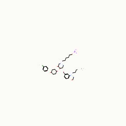 COCCCN1CCOc2ccc(COC3CN(C(=O)CCCCCON(O)O)CC(O)C3OC3CCC(Oc4ccc(Cl)cc4)CC3)cc21